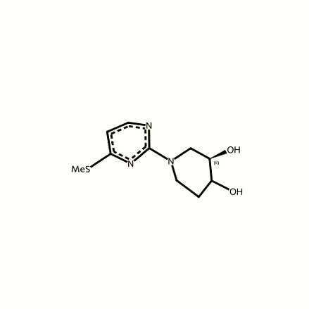 CSc1ccnc(N2CCC(O)[C@H](O)C2)n1